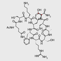 CC(=O)N[C@@H](CCC(N)=O)C(=O)N[C@@H](CS)C(=O)N[C@@H](CCCCN)C(=O)N[C@@H](Cc1ccccc1)C(=O)N[C@@H](Cc1ccccc1)C(=O)N[C@@H](CCCNC(=N)N)C(=O)N[C@@H](CO)C(=O)N[C@@H](C)C(=O)N[C@@H](CS)C(=O)N[C@@H](CO)C(N)=O